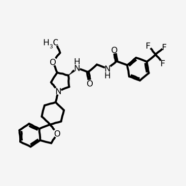 CCOC1CN(C2CCC3(CC2)OCc2ccccc23)C[C@@H]1NC(=O)CNC(=O)c1cccc(C(F)(F)F)c1